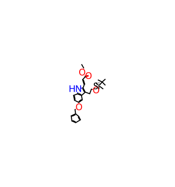 CCOC(=O)C=Cc1[nH]c2ccc(OCc3ccccc3)cc2c1CCO[Si](C)(C)C(C)(C)C